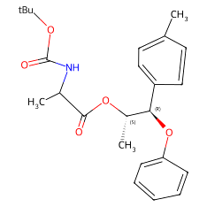 Cc1ccc([C@@H](Oc2ccccc2)[C@H](C)OC(=O)C(C)NC(=O)OC(C)(C)C)cc1